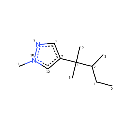 CCC(C)C(C)(C)c1cnn(C)c1